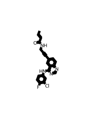 CC=CC(=O)NCC#Cc1ccc2ncnc(Nc3ccc(F)c(Cl)c3)c2c1